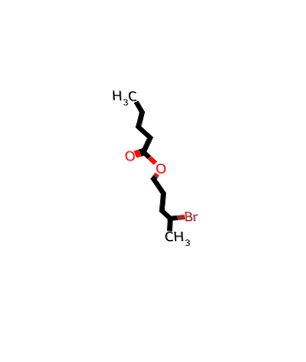 CCCCC(=O)OCCCC(C)Br